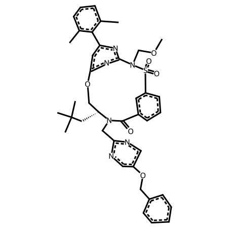 COCN1c2nc(cc(-c3c(C)cccc3C)n2)OC[C@@H](CC(C)(C)C)N(Cc2ncc(OCc3ccccc3)cn2)C(=O)c2cccc(c2)S1(=O)=O